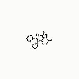 Cn1nc(C(F)F)c(C(=O)N(Cc2ccccn2)N2CCCC2)c1Cl